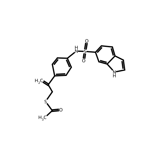 C=C(CSC(C)=O)c1ccc(NS(=O)(=O)c2ccc3cc[nH]c3c2)cc1